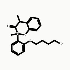 CC1C(=O)[N+](C)(c2ccccc2OCCCCBr)Sc2ccccc21